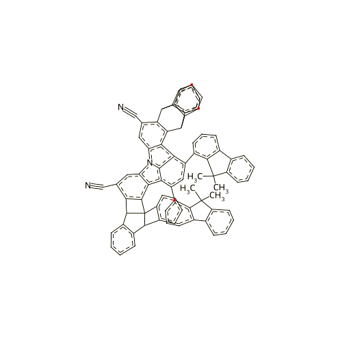 CC1(C)c2ccccc2-c2cccc(-c3cc(-c4cccc5c4C(C)(C)c4ccccc4-5)c4c5c6c(c(C#N)cc5n5c7cc(C#N)c8c(c7c3c45)C3c4ccccc4C8c4ccccc43)C3c4ccccc4C4c5ccccc5C643)c21